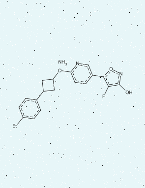 CCc1ccc(C2CC(Oc3ccc(-c4onc(O)c4F)cn3)C2)cc1.N